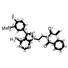 C=CC(=O)N(CCn1nc(-c2ccc(F)c(NC)c2)c2c(N)ncnc21)C(=O)c1ccccc1